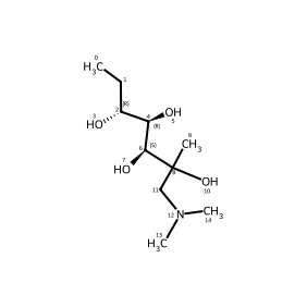 CC[C@@H](O)[C@@H](O)[C@H](O)C(C)(O)CN(C)C